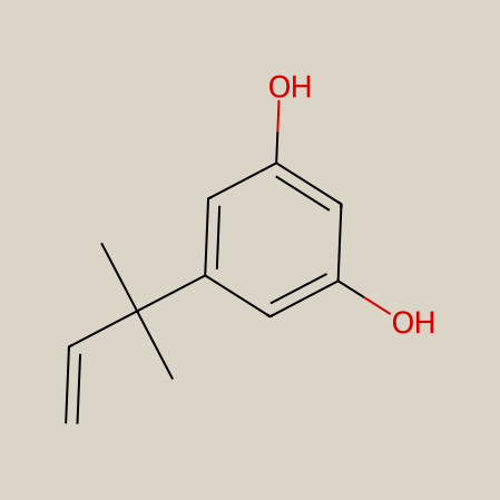 C=CC(C)(C)c1cc(O)cc(O)c1